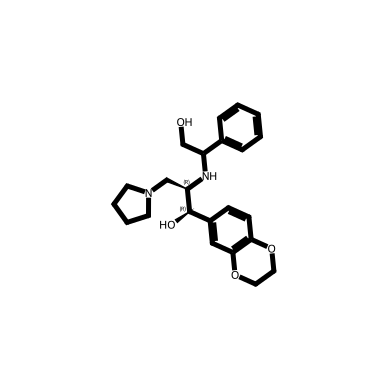 OCC(N[C@H](CN1CCCC1)[C@H](O)c1ccc2c(c1)OCCO2)c1ccccc1